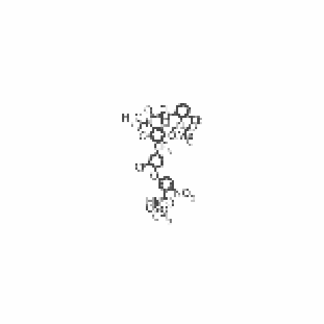 CC1COc2ccccc2N1C(=O)C(Cl)Cl.CCc1cccc(CC)c1N(COC)C(=O)CCl.CS(=O)(=O)NC(=O)c1cc(Oc2ccc(C(F)(F)F)cc2Cl)ccc1[N+](=O)[O-]